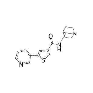 O=C(NC1CN2CCC1CC2)c1csc(-c2cccnc2)c1